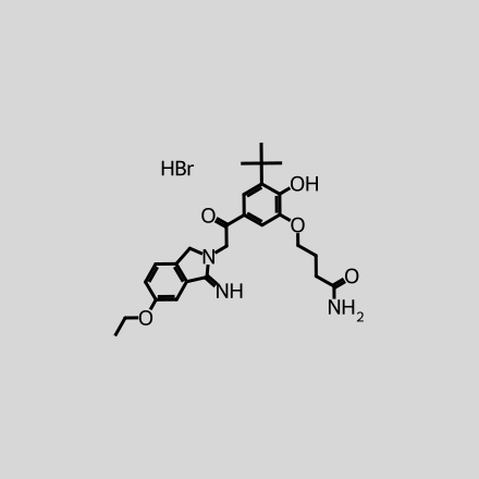 Br.CCOc1ccc2c(c1)C(=N)N(CC(=O)c1cc(OCCCC(N)=O)c(O)c(C(C)(C)C)c1)C2